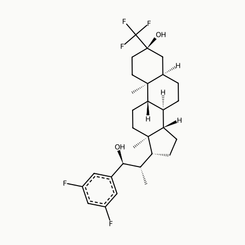 C[C@H]([C@H](O)c1cc(F)cc(F)c1)[C@H]1CC[C@H]2[C@@H]3CC[C@@H]4C[C@@](O)(C(F)(F)F)CC[C@]4(C)[C@H]3CC[C@]12C